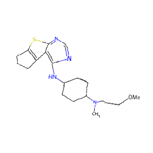 COCCN(C)C1CCC(Nc2ncnc3sc4c(c23)CCC4)CC1